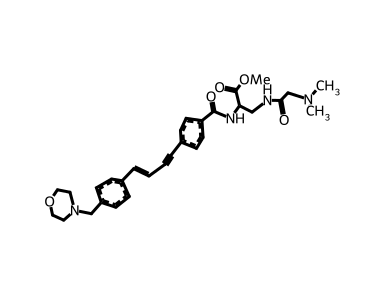 COC(=O)C(CNC(=O)CN(C)C)NC(=O)c1ccc(C#CC=Cc2ccc(CN3CCOCC3)cc2)cc1